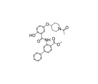 COC(=O)c1ccc(-c2ccccc2)cc1NC(=O)c1cc(OC2CCN(C(C)=O)CC2)ccc1O